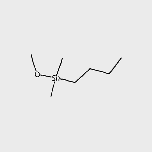 CCC[CH2][Sn]([CH3])([CH3])[O]C